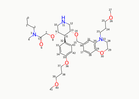 CCCN(C)C(=O)CO[C@@H]1CNC[C@H](OCc2ccc3c(c2)N(CCCOC)CCO3)[C@H]1c1ccc(OCCCOC)cc1